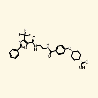 O=C(NCCNC(=O)c1oc(-c2ccccc2)nc1C(F)(F)F)c1ccc(O[C@H]2CC[C@@H](C(=O)O)CC2)cc1